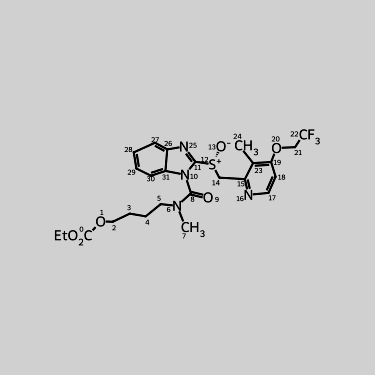 CCOC(=O)OCCCCN(C)C(=O)n1c([S@+]([O-])Cc2nccc(OCC(F)(F)F)c2C)nc2ccccc21